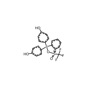 O=S(=O)(OS(c1ccccc1)(c1ccc(O)cc1)c1ccc(O)cc1)C(F)(F)F